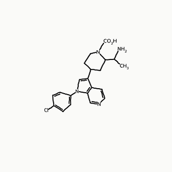 CC(N)C1CC(c2cn(-c3ccc(Cl)cc3)c3cnccc23)CCN1C(=O)O